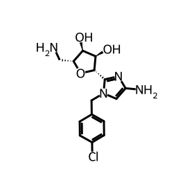 NC[C@H]1O[C@@H](c2nc(N)cn2Cc2ccc(Cl)cc2)[C@H](O)[C@@H]1O